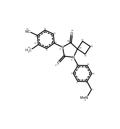 CNCc1ccc(N2C(=S)N(c3ccc(C#N)c(C)c3)C(=O)C23CCC3)cc1